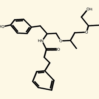 CC(CO)OCC(C)OCC(Cc1ccc(O)cc1)NC(=O)CCc1ccccc1